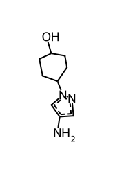 Nc1cnn(C2CCC(O)CC2)c1